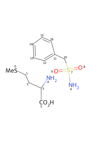 CSCCC(N)C(=O)O.NS(=O)(=O)Cc1ccccc1